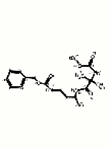 CCCC(CCNC(=O)OCc1ccccc1)NC(=O)C(C)(C)NC(=O)OC(C)(C)C